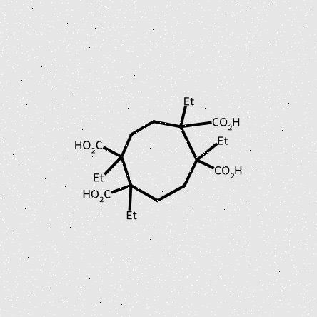 CCC1(C(=O)O)CCC(CC)(C(=O)O)C(CC)(C(=O)O)CCC1(CC)C(=O)O